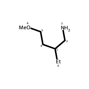 [CH2]CC(CN)CCOC